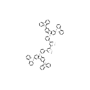 c1cc(-c2cncc(-c3cncc(-c4cccc(-n5c6ccc(-n7c8ccccc8c8ccccc87)cc6c6cc(-n7c8ccccc8c8ccccc87)ccc65)c4)c3)c2)cc(-n2c3ccc(-n4c5ccccc5c5ccccc54)cc3c3cc(-n4c5ccccc5c5ccccc54)ccc32)c1